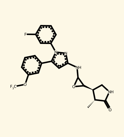 C[C@H]1C(=O)NC[C@@H]1C1OC1Nc1cc(-c2cccc(OC(F)(F)F)c2)n(-c2cccc(F)c2)n1